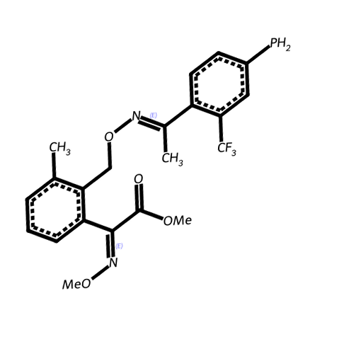 CO/N=C(/C(=O)OC)c1cccc(C)c1CO/N=C(\C)c1ccc(P)cc1C(F)(F)F